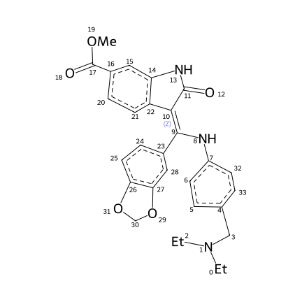 CCN(CC)Cc1ccc(N/C(=C2\C(=O)Nc3cc(C(=O)OC)ccc32)c2ccc3c(c2)OCO3)cc1